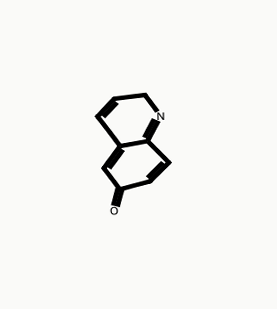 O=C1C=CC2=NCC=CC2=C1